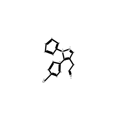 O=CCc1cnn(-c2ccccc2)c1-c1ccc(Cl)cc1